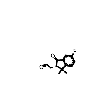 CC1(C)c2ccc(F)cc2C(=O)[C@H]1CC=O